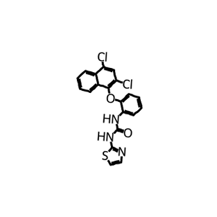 O=C(Nc1nccs1)Nc1ccccc1Oc1c(Cl)cc(Cl)c2ccccc12